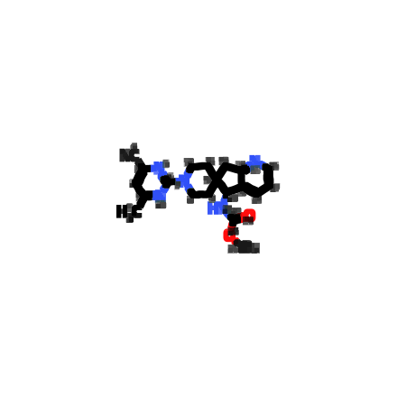 Cc1cc(C#N)nc(N2CCC3(CC2)Cc2ncccc2[C@H]3NC(=O)OC(C)(C)C)n1